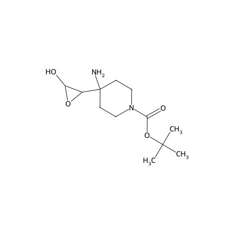 CC(C)(C)OC(=O)N1CCC(N)(C2OC2O)CC1